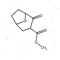 COC(=O)C1CC2CCC(O2)C1=O